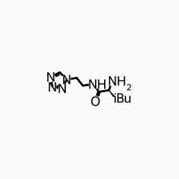 CCC(C)[C@H](N)C(=O)NCCn1cnnn1